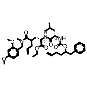 C=CCCC(Cc1ccccc1)OC(=O)N[C@@H](CC(C)C)C(=O)N[C@@H](CC(CC=C)C(=O)N(C)Cc1ccc(OC)cc1OC)C(=O)OCC